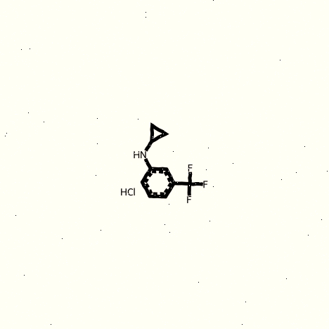 Cl.FC(F)(F)c1cccc(NC2CC2)c1